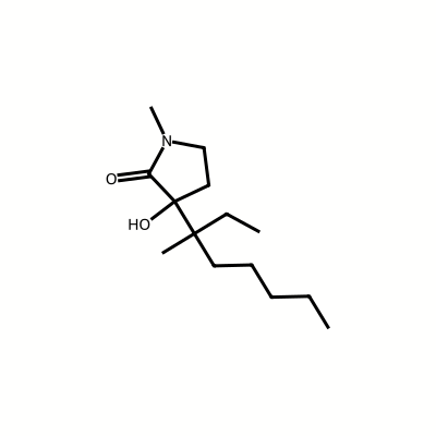 CCCCCC(C)(CC)C1(O)CCN(C)C1=O